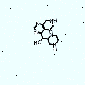 N#CC(c1ncnc2c1CCNC2)C1CNCCN1